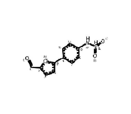 O=Cc1ccc(-c2ccc(N[SH](=O)=O)cc2)o1